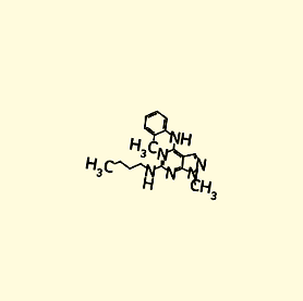 CCCCNc1nc(Nc2ccccc2C)c2cnn(C)c2n1